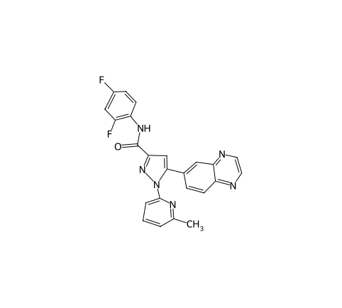 Cc1cccc(-n2nc(C(=O)Nc3ccc(F)cc3F)cc2-c2ccc3nccnc3c2)n1